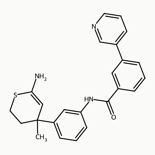 CC1(c2cccc(NC(=O)c3cccc(-c4cccnc4)c3)c2)C=C(N)SCC1